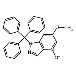 COc1cc2c(cnn2C(c2ccccc2)(c2ccccc2)c2ccccc2)[n+]([O-])c1